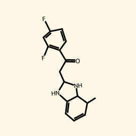 CC1C=CC=C2NC(CC(=O)c3ccc(F)cc3F)NC21